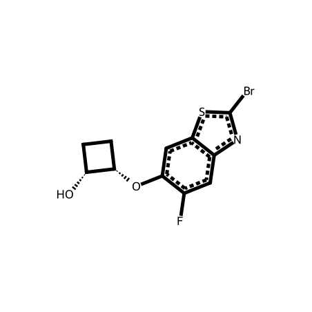 O[C@@H]1CC[C@@H]1Oc1cc2sc(Br)nc2cc1F